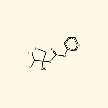 CC(CBr)(OC(=O)Nc1cccnc1)C(O)Br